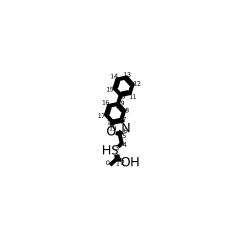 CC(O)=[SH]Cc1nc2cc(-c3ccccc3)ccc2o1